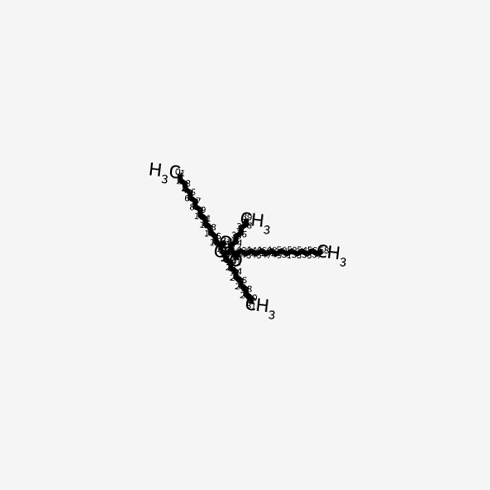 CCCCCCCCCCCCCCCCCC(=O)OC(CCCCCCCCCCC)C(CCCCCCC)C(=O)CCCCCCCCCCCCCCCCC